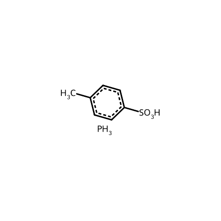 Cc1ccc(S(=O)(=O)O)cc1.P